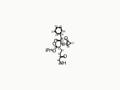 CC(C)OC(=O)[C@H](CCC(=O)C=N)NC(=O)[C@@H](OC1CC1)c1ccccc1